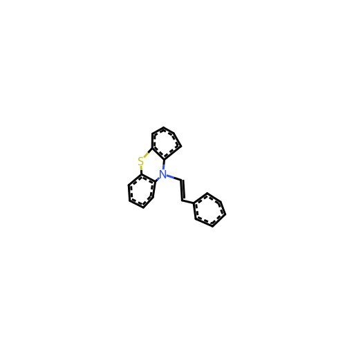 C(=CN1c2ccccc2Sc2ccccc21)c1ccccc1